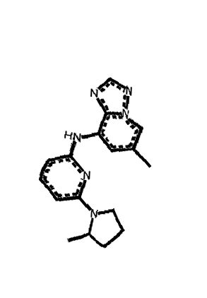 Cc1cc(Nc2cccc(N3CCCC3C)n2)c2ncnn2c1